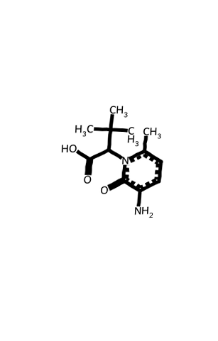 Cc1ccc(N)c(=O)n1C(C(=O)O)C(C)(C)C